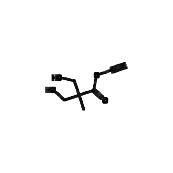 C#COC(=O)C(C)(CO)CO